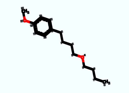 CCCCOCCCCc1ccc(OC)cc1